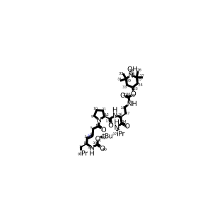 CC(C)C[C@@H](/C=C/CC(=O)N1CCC[C@H]1C(=O)N[C@@H](CCNC(=O)OC1CC(C)(C)N(O)C(C)(C)C1)C(=O)NC(C)C)NC(=O)OC(C)(C)C